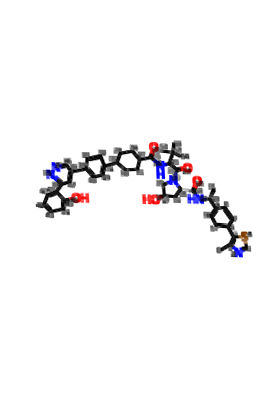 Cc1ncsc1-c1ccc([C@H](C)NC(=O)[C@@H]2C[C@@H](O)CN2C(=O)[C@@H](NC(=O)C2CCC(c3ccc(-c4cnnc(-c5ccccc5O)c4)cc3)CC2)C(C)(C)C)cc1